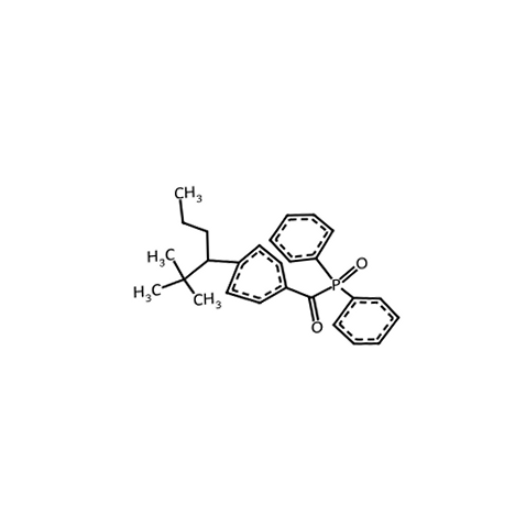 CCCC(c1ccc(C(=O)P(=O)(c2ccccc2)c2ccccc2)cc1)C(C)(C)C